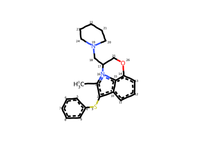 Cc1c(Sc2ccccc2)c2cccc3c2n1C(CN1CCCCC1)CO3